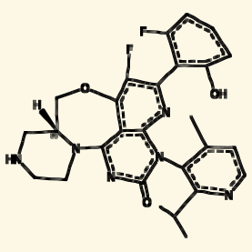 Cc1ccnc(C(C)C)c1-n1c(=O)nc2c3c(c(F)c(-c4c(O)cccc4F)nc31)OC[C@H]1CNCCN21